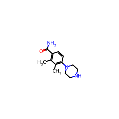 Cc1c(C(N)=O)ccc(N2CCNCC2)c1C